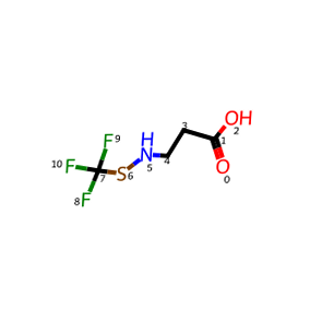 O=C(O)CCNSC(F)(F)F